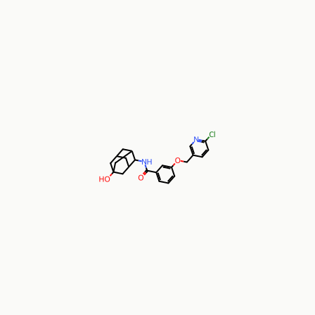 O=C(NC1C2CC3CC1CC(O)(C3)C2)c1cccc(OCc2ccc(Cl)nc2)c1